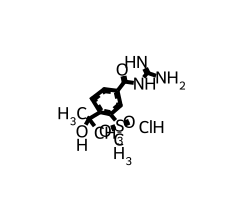 CC(C)(O)c1ccc(C(=O)NC(=N)N)cc1S(C)(=O)=O.Cl